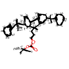 CCCCC(C)(C)OC(=O)OCCCC1(C)c2cc(C(C)(C)c3ccccc3)ccc2-c2ccc(C(C)(CC)c3ccccc3)cc21